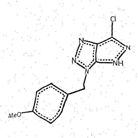 COc1ccc(Cn2nnc3c(Cl)n[nH]c32)cc1